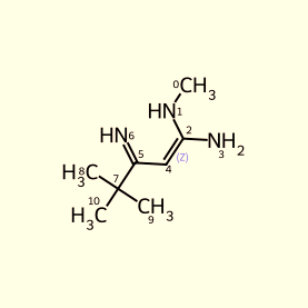 CN/C(N)=C\C(=N)C(C)(C)C